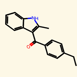 CCc1ccc(C(=O)c2c(C)[nH]c3ccccc23)cc1